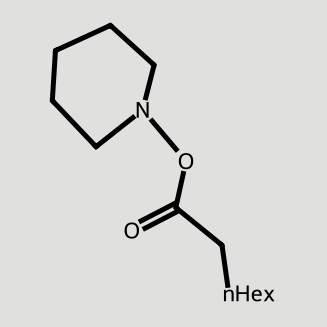 CCCCCCCC(=O)ON1CCCCC1